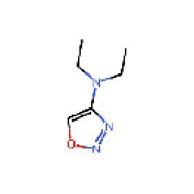 CCN(CC)c1conn1